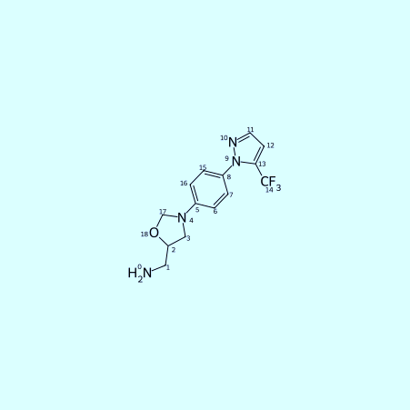 NCC1CN(c2ccc(-n3nccc3C(F)(F)F)cc2)CO1